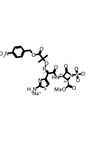 COC(=O)[C@H]1[C@@H](NC(=O)/C(=N\OC(C)(C)C(=O)OCc2ccc([N+](=O)[O-])cc2)c2csc(N)n2)C(=O)N1S(=O)(=O)[O-].[Na+]